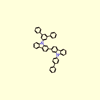 c1ccc(-c2ccc(-n3c4ccccc4c4ccc(-c5ccc6c7ccccc7n(-c7cc(-c8ccccc8)cc(-c8ccccc8)c7)c6c5)cc43)cc2)cc1